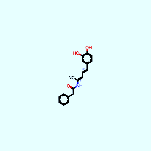 N#C/C(=C\C=C\c1ccc(O)c(O)c1)NC(=O)Cc1ccccc1